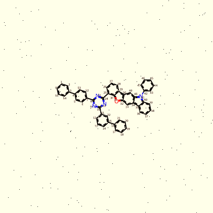 c1ccc(-c2ccc(-c3nc(-c4cccc(-c5ccccc5)c4)nc(-c4cccc5c4oc4cc6c7ccccc7n(-c7ccccc7)c6cc45)n3)cc2)cc1